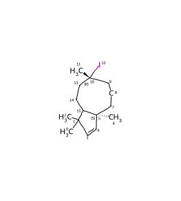 CC1(C)C=C[C@]2(C)CCC[C@@](C)(I)CCC12